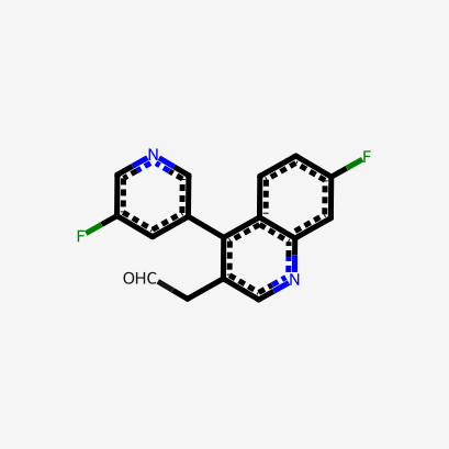 O=CCc1cnc2cc(F)ccc2c1-c1cncc(F)c1